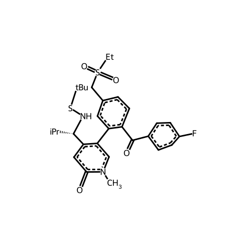 CCS(=O)(=O)Cc1ccc(C(=O)c2ccc(F)cc2)c(-c2cn(C)c(=O)cc2[C@@H](NSC(C)(C)C)C(C)C)c1